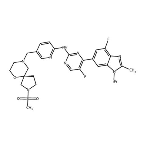 Cc1nc2c(F)cc(-c3nc(Nc4ccc(CN5CCO[C@]6(CCN(S(C)(=O)=O)C6)C5)cn4)ncc3F)cc2n1C(C)C